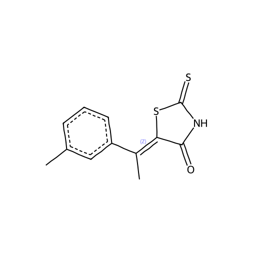 C/C(=C1/SC(=S)NC1=O)c1cccc(C)c1